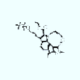 CCOC(=O)c1c(CCCO[Si](C)(C)C(C)(C)C)c2ccc(C)c3c2n1C/C=C\COCc1c-3c(CC)nn1C